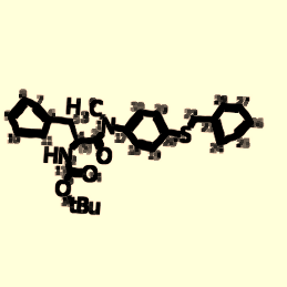 CN(C(=O)[C@H](Cc1ccccc1)NC(=O)OC(C)(C)C)c1ccc(SCc2ccccc2)cc1